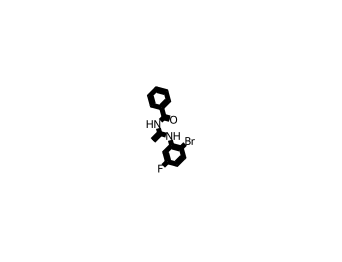 C=C(NC(=O)c1ccccc1)Nc1cc(F)ccc1Br